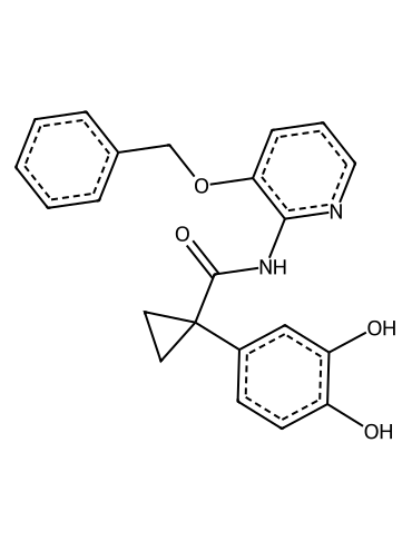 O=C(Nc1ncccc1OCc1ccccc1)C1(c2ccc(O)c(O)c2)CC1